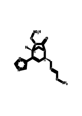 BOC=NC[C@@H]1C=C(c2cnco2)[C@@H]2CN1C(=O)N2OS(=O)(=O)O